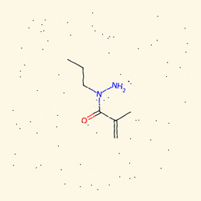 C=C(C)C(=O)N(N)CCC